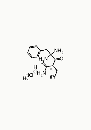 CC(C)C[C@@H](C(N)=O)C(=O)C(N)(N)Cc1ccccc1.Cl.Cl.Cl